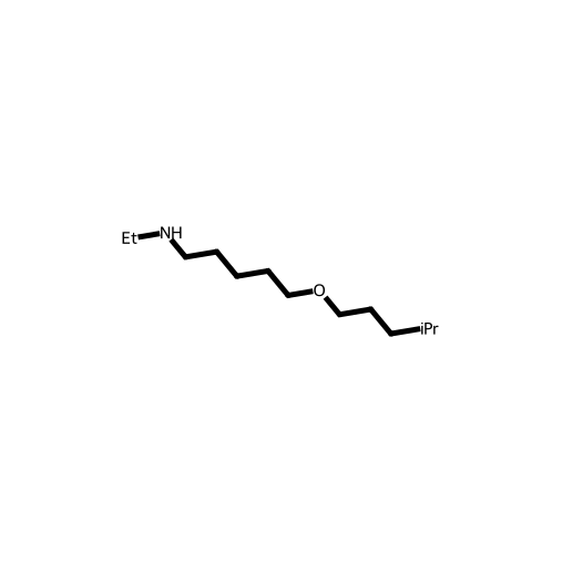 CCNCCCCCOCCCC(C)C